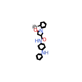 CC(C)c1ccccc1N1CC(C(=O)Nc2ccc(Nc3ccccc3)cc2)CC1=O